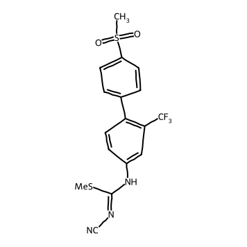 CS/C(=N\C#N)Nc1ccc(-c2ccc(S(C)(=O)=O)cc2)c(C(F)(F)F)c1